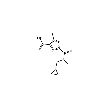 C=C(N)c1oc(C(=O)N(C)CC2CC2)cc1C